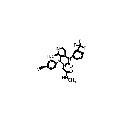 C=C1NCCC2=C1[C@H](c1ccc(C#N)cc1)N(CC(=O)NC)C(=O)N2c1cccc(C(F)(F)F)c1